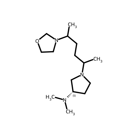 CC(CCC(C)N1CC[C@H](N(C)C)C1)N1CCOC1